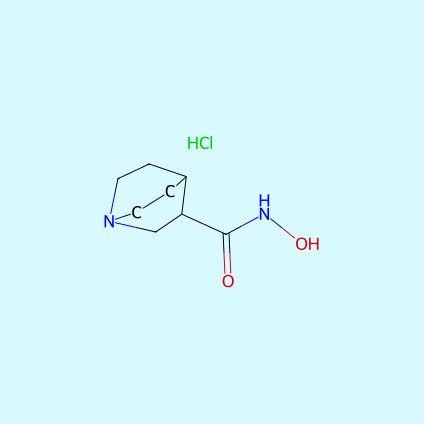 Cl.O=C(NO)C1CN2CCC1CC2